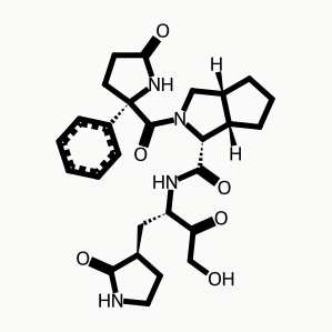 O=C1CC[C@@](C(=O)N2C[C@@H]3CCC[C@@H]3[C@@H]2C(=O)N[C@@H](C[C@H]2CCNC2=O)C(=O)CO)(c2ccccc2)N1